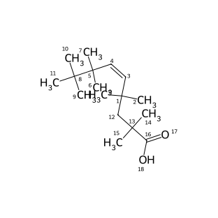 CC(C)(/C=C\C(C)(C)C(C)(C)C)CC(C)(C)C(=O)O